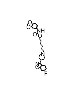 O=C(Nc1ccc2c(c1)OCO2)OCCCCCCN1CCC(c2noc3cc(F)ccc23)CC1